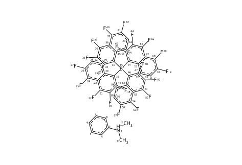 C[NH+](C)c1ccccc1.Fc1ccc2c([B-](c3c(F)c(F)c(F)c4c(F)c(F)ccc34)(c3c(F)c(F)c(F)c4c(F)c(F)ccc34)c3c(F)c(F)c(F)c4c(F)c(F)ccc34)c(F)c(F)c(F)c2c1F